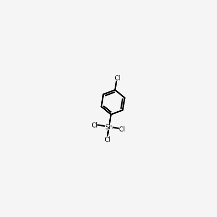 Clc1cc[c]([Sn]([Cl])([Cl])[Cl])cc1